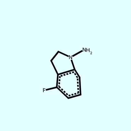 NN1CCc2c(F)cccc21